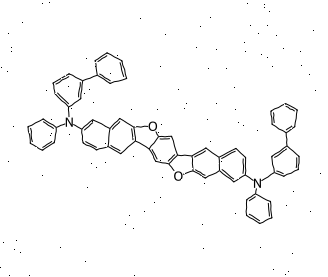 c1ccc(-c2cccc(N(c3ccccc3)c3ccc4cc5c(cc4c3)oc3cc4c(cc35)oc3cc5cc(N(c6ccccc6)c6cccc(-c7ccccc7)c6)ccc5cc34)c2)cc1